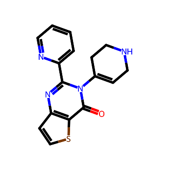 O=c1c2sccc2nc(-c2ccccn2)n1C1=CCNCC1